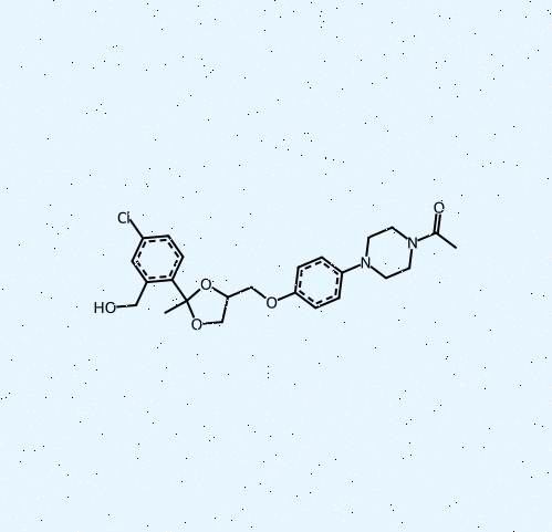 CC(=O)N1CCN(c2ccc(OCC3COC(C)(c4ccc(Cl)cc4CO)O3)cc2)CC1